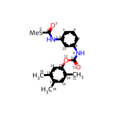 CSC(=O)Nc1cccc(NC(=O)Oc2cc(C)c(C)cc2C)c1